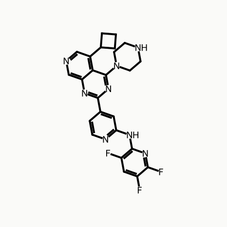 Fc1cc(F)c(Nc2cc(-c3nc(N4CCNCC4)c4c(C5CCC5)cncc4n3)ccn2)nc1F